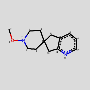 CON1CCC2(CC1)Cc1cccnc1C2